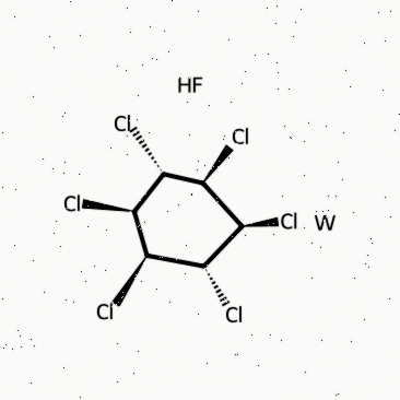 Cl[C@H]1[C@H](Cl)[C@@H](Cl)[C@@H](Cl)[C@H](Cl)[C@H]1Cl.F.[W]